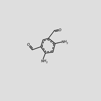 Nc1cc(N)c(C=O)cc1C=O